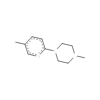 CN1CCN(c2ccc(I)cn2)CC1